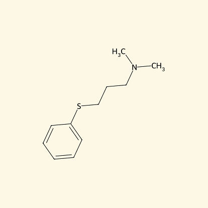 CN(C)CCCSc1ccccc1